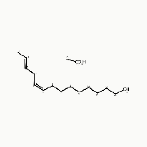 C/C=C/C/C=C\CCCCCCCCO.CC(=O)O